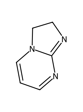 C1=CN2CCN=C2N=C1